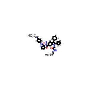 CC(=O)NCCNC(=O)Cn1c(-c2ccccc2)c(C2CCCCC2)c2ccc(C(=O)NC3(C(=O)Nc4ccc(/C=C/C(=O)O)cc4)CCCC3)cc21